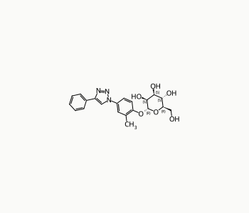 Cc1cc(-n2cc(-c3ccccc3)nn2)ccc1O[C@H]1O[C@H](CO)[C@@H](O)[C@H](O)[C@@H]1O